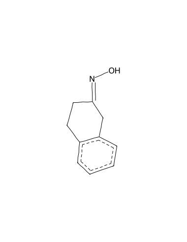 ON=C1CCc2ccccc2C1